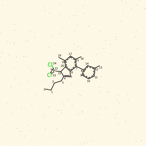 CCCCC1=Cc2c(-c3cccc(C)c3)c(C)cc(C)c2[CH]1[Zr]([Cl])[Cl]